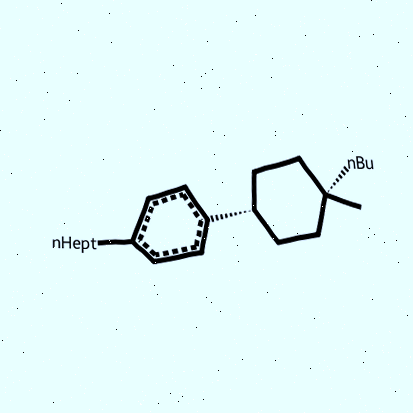 CCCCCCCc1ccc([C@H]2CC[C@@](C)(CCCC)CC2)cc1